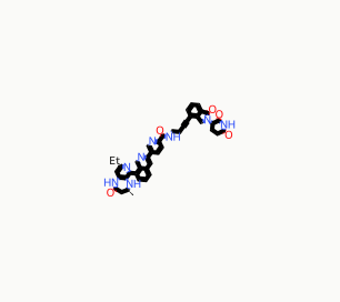 CCc1cc2c(c(-c3cccc4cc(-c5ccc(C(=O)NCCC#Cc6cccc7c6CN(C6CCC(=O)NC6=O)C7=O)nc5)ncc34)n1)N[C@H](C)CC(=O)N2